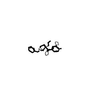 CCC[C@]1(C(=O)c2ccc(C)c(Cl)c2)CCN(Cc2ccccc2)C1